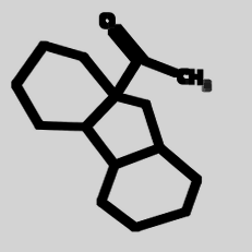 CC(=O)C12CCCCC1C1CCCCC1C2